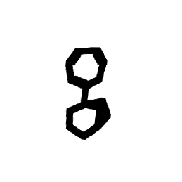 C1=CC=C(C23CCCC(CC2)C3)CC=C1